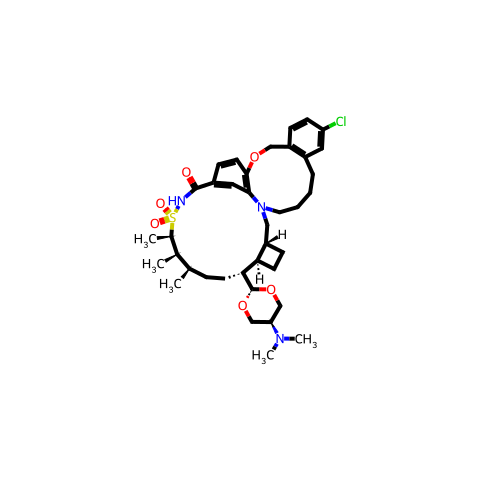 C[C@@H]1[C@H](C)CC[C@@H]([C@H]2OC[C@H](N(C)C)CO2)[C@@H]2CC[C@H]2CN2CCCCc3cc(Cl)ccc3COc3ccc(cc32)C(=O)NS(=O)(=O)[C@@H]1C